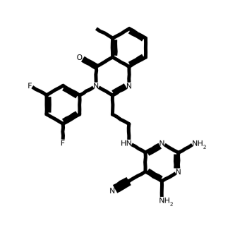 Cc1cccc2nc(CCNc3nc(N)nc(N)c3C#N)n(-c3cc(F)cc(F)c3)c(=O)c12